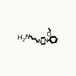 CCOc1ccccc1N1CCN(CCCCN)CC1